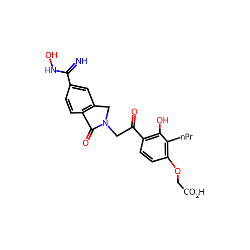 CCCc1c(OCC(=O)O)ccc(C(=O)CN2Cc3cc(C(=N)NO)ccc3C2=O)c1O